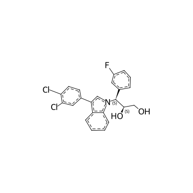 OC[C@@H](O)[C@H](c1cccc(F)c1)n1cc(-c2ccc(Cl)c(Cl)c2)c2ccccc21